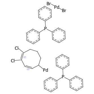 ClC1=C(\Cl)CCC[CH]([Pd])/C=C\1.[Br][Pd][Br].c1ccc(P(c2ccccc2)c2ccccc2)cc1.c1ccc(P(c2ccccc2)c2ccccc2)cc1